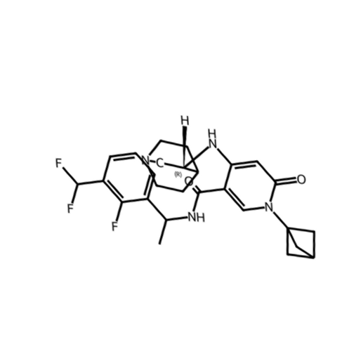 CC(NC(=O)c1cn(C23CC(C2)C3)c(=O)cc1N[C@H]1CN2CCC1CC2)c1cccc(C(F)F)c1F